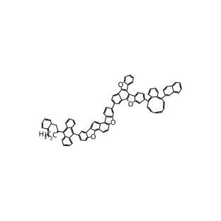 C=C(CC1C=CC=CC1=C)c1c2ccccc2c(-c2ccc3oc4c(ccc5c4ccc4oc6cc(-c7ccc8c(c7)c7oc9cc(-c%10ccccccc(-c%11ccc%12ccccc%12c%11)c%11ccccc%10%11)ccc9c7c7c9ccccc9oc87)ccc6c45)c3c2)c2ccccc12